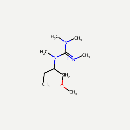 CCC([SiH2]OC)N(C)/C(=N/C)N(C)C